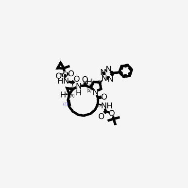 CC(C)(C)OC(=O)N[C@H]1CCCCC/C=C\[C@@H]2C[C@@]2(C(=O)NS(=O)(=O)C2(C)CC2)NC(=O)[C@@H]2C[C@@H](n3nnc(-c4ccccc4)n3)CN2C1=O